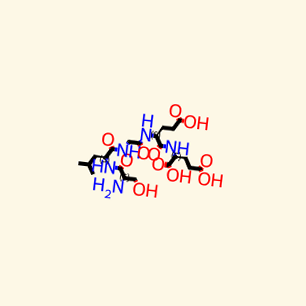 CC(C)C[C@H](NC(=O)[C@@H](N)CO)C(=O)NCC(=O)N[C@@H](CCC(=O)O)C(=O)N[C@@H](CCC(=O)O)C(=O)O